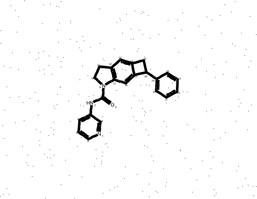 O=C(Nc1cccnc1)N1CCc2cc3c(cc21)C(c1ccccc1)C3